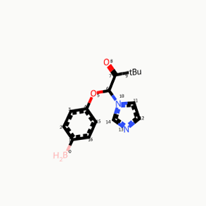 Bc1ccc(OC(C(=O)C(C)(C)C)n2ccnc2)cc1